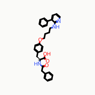 O=C(Cc1ccccc1)N[C@@H](Cc1ccc(OCCCCNc2ncccc2-c2ccccc2)cc1)C(=O)O